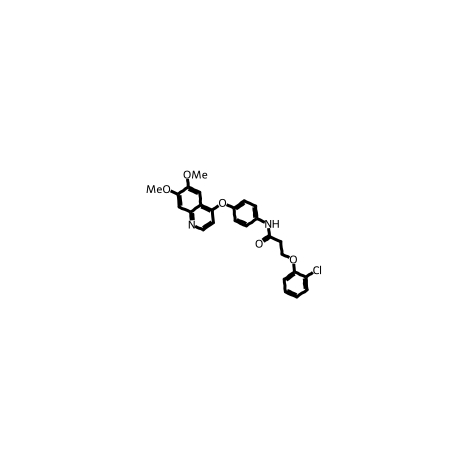 COc1cc2nccc(Oc3ccc(NC(=O)CCOc4ccccc4Cl)cc3)c2cc1OC